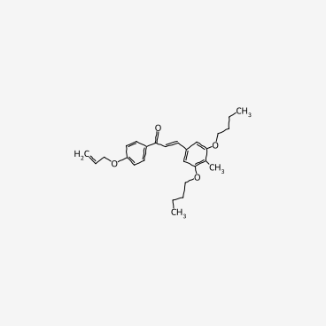 C=CCOc1ccc(C(=O)C=Cc2cc(OCCCC)c(C)c(OCCCC)c2)cc1